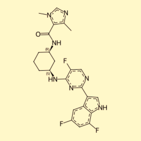 Cc1ncn(C)c1C(=O)N[C@@H]1CCC[C@H](Nc2nc(-c3c[nH]c4c(F)cc(F)cc34)ncc2F)C1